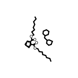 C1CCC(CC2CCCCC2)CC1.CCCCCCCCOC(=O)c1ccccc1C(=O)OCCCCCCCC